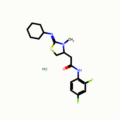 CN1C(=NC2CCCCC2)SCC1CC(=O)Nc1ccc(F)cc1F.Cl